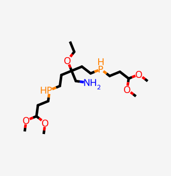 CCOC(CN)(CCPCCC(OC)OC)CCPCCC(OC)OC